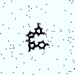 Cc1cc(Nc2ncn(-c3cc(F)cc(F)c3)n2)cc(N2CCN(C)CC2)c1